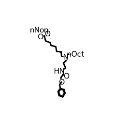 CCCCCCCCCOC(=O)CCCCCCCN(CCCCCCCC)CCCNC(=O)COCc1ccccc1